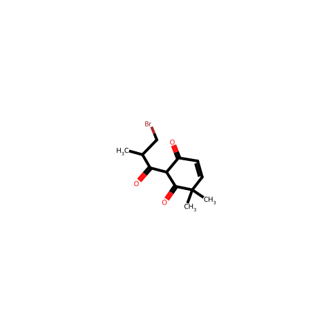 CC(CBr)C(=O)C1C(=O)C=CC(C)(C)C1=O